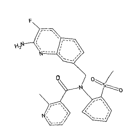 Cc1ncccc1C(=O)N(Cc1ccc2cc(F)c(N)nc2c1)c1ccccc1S(C)(=O)=O